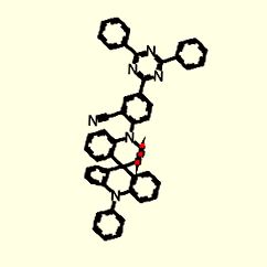 N#Cc1cc(-c2nc(-c3ccccc3)nc(-c3ccccc3)n2)ccc1N1c2ccccc2C2(c3ccccc3N(c3ccccc3)c3ccccc32)c2ccccc21